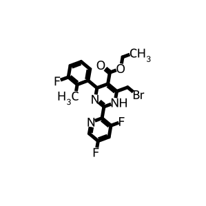 CCOC(=O)C1=C(CBr)NC(c2ncc(F)cc2F)=NC1c1cccc(F)c1C